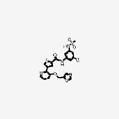 CS(=O)(=O)Nc1cc(Cl)cc(NC(=O)c2cc(-c3ncccc3OCc3cnco3)cs2)c1